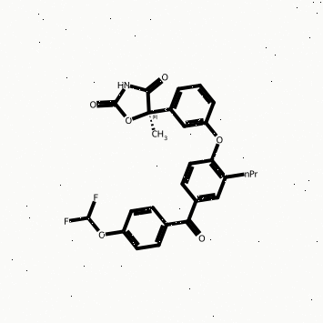 CCCc1cc(C(=O)c2ccc(OC(F)F)cc2)ccc1Oc1cccc([C@@]2(C)OC(=O)NC2=O)c1